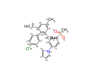 CS(=O)(=O)c1ccc(-n2cccc2)cc1.Cc1cc(C(=O)O)c(-c2ccc(Cl)cc2)c(C(=O)O)c1